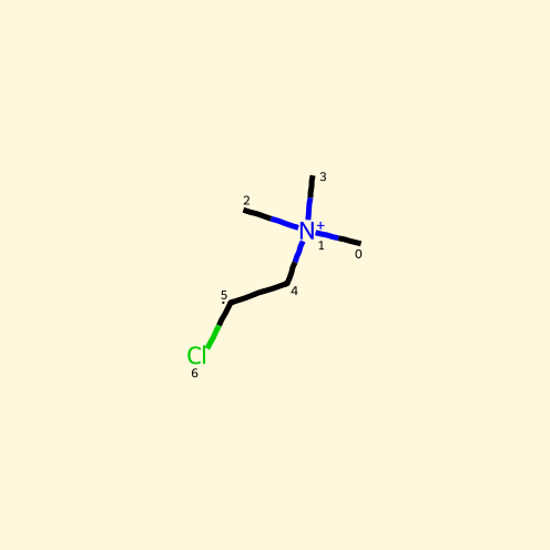 C[N+](C)(C)C[CH]Cl